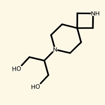 OCC(CO)N1CCC2(CC1)CNC2